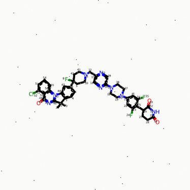 CC1(C)c2ccc(C3(F)CCN(Cc4cnc(N5CCN(c6cc(F)c(C7CCC(=O)NC7=O)c(F)c6)CC5)cn4)CC3)cc2-n2c1nc(=O)c1c(Cl)cccc12